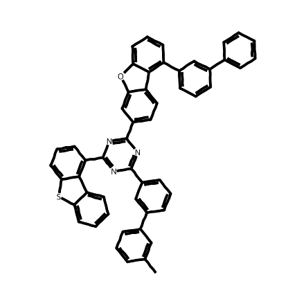 Cc1cccc(-c2cccc(-c3nc(-c4ccc5c(c4)oc4cccc(-c6cccc(-c7ccccc7)c6)c45)nc(-c4cccc5sc6ccccc6c45)n3)c2)c1